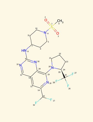 CS(=O)(=O)N1CCC(Nc2ncc3cc(C(F)F)nc(N4CCC[C@H]4C(F)(F)F)c3n2)CC1